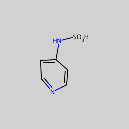 O=S(=O)(O)Nc1ccncc1